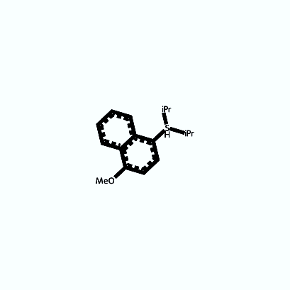 COc1ccc([SH](C(C)C)C(C)C)c2ccccc12